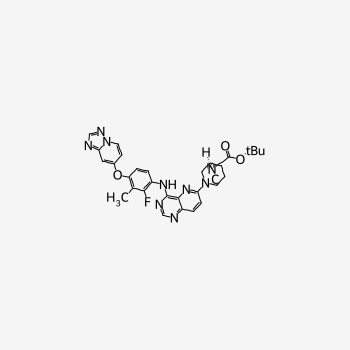 Cc1c(Oc2ccn3ncnc3c2)ccc(Nc2ncnc3ccc(N4C[C@H]5CCC4CN5C(=O)OC(C)(C)C)nc23)c1F